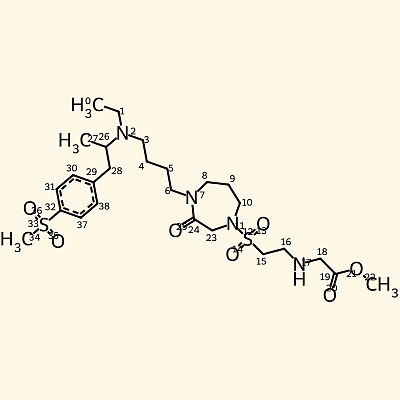 CCN(CCCCN1CCCN(S(=O)(=O)CCNCC(=O)OC)CC1=O)C(C)Cc1ccc(S(C)(=O)=O)cc1